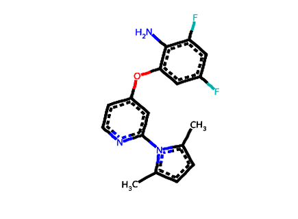 Cc1ccc(C)n1-c1cc(Oc2cc(F)cc(F)c2N)ccn1